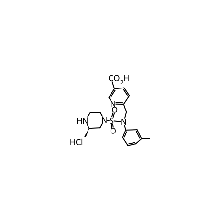 Cc1cccc(N(Cc2ccc(C(=O)O)cn2)S(=O)(=O)N2CCN[C@H](C)C2)c1.Cl